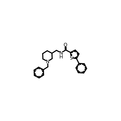 O=C(NCC1CCCN(Cc2ccccc2)C1)c1ccc(-c2ccccc2)s1